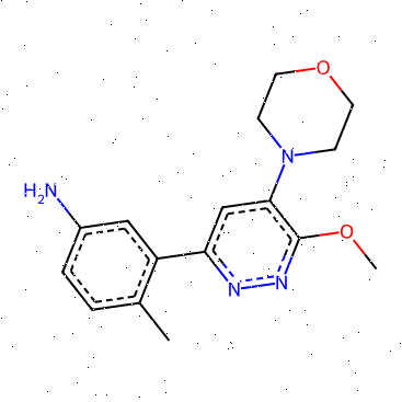 COc1nnc(-c2cc(N)ccc2C)cc1N1CCOCC1